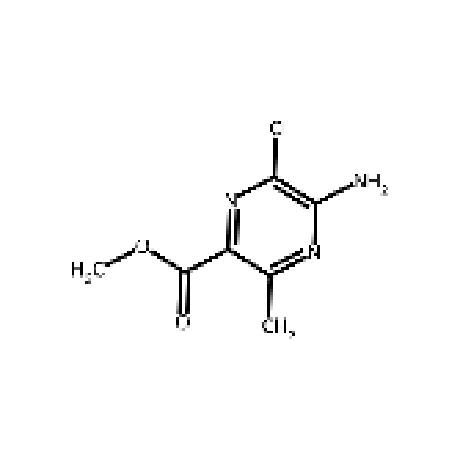 COC(=O)c1nc(Cl)c(N)nc1C